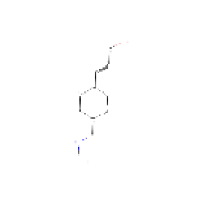 CNCC1CCC(C=CCO)CC1